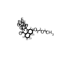 CCOCCOc1cc2c3c(cccc3c1)C(=O)N(OS(=O)(=O)C(F)(F)F)C2=O